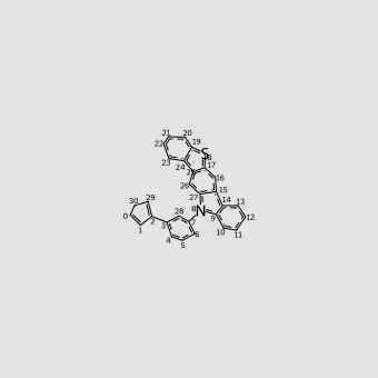 C1=CC(c2cccc(-n3c4ccccc4c4cc5sc6ccccc6c5cc43)c2)=CC1